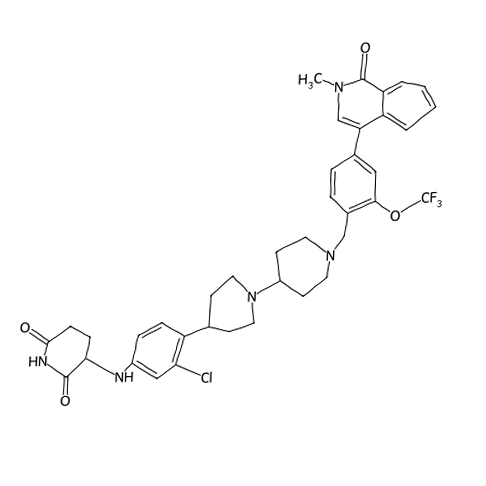 Cn1cc(-c2ccc(CN3CCC(N4CCC(c5ccc(NC6CCC(=O)NC6=O)cc5Cl)CC4)CC3)c(OC(F)(F)F)c2)c2ccccc2c1=O